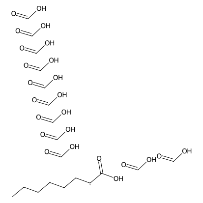 CCCCCC[CH]C(=O)O.O=CO.O=CO.O=CO.O=CO.O=CO.O=CO.O=CO.O=CO.O=CO.O=CO.O=CO